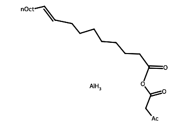 CCCCCCCCC=CCCCCCCCC(=O)OC(=O)CC(C)=O.[AlH3]